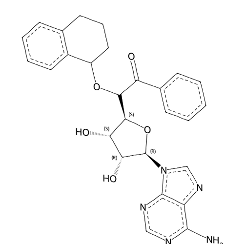 Nc1ncnc2c1ncn2[C@@H]1O[C@H](C(OC2CCCc3ccccc32)C(=O)c2ccccc2)[C@@H](O)[C@H]1O